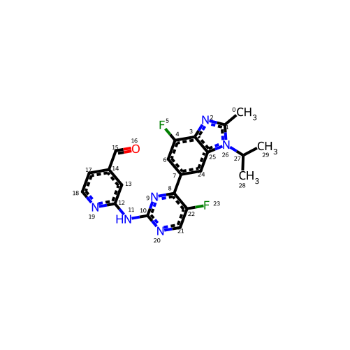 Cc1nc2c(F)cc(-c3nc(Nc4cc(C=O)ccn4)ncc3F)cc2n1C(C)C